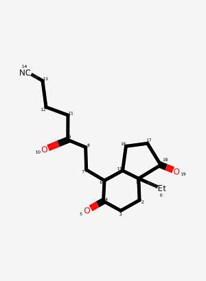 CCC12CCC(=O)C(CCC(=O)CCCC#N)C1CCC2=O